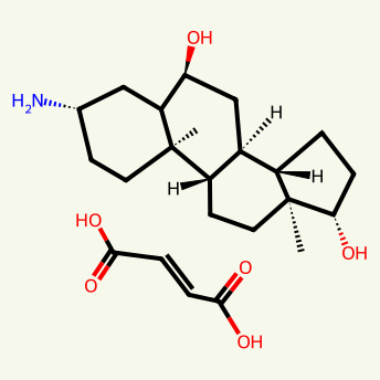 C[C@]12CC[C@H]3[C@@H](C[C@H](O)C4C[C@@H](N)CC[C@@]43C)[C@@H]1CC[C@@H]2O.O=C(O)/C=C/C(=O)O